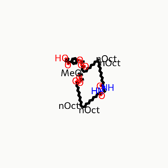 CCCCCCCCC(CCCCCCCCC(=O)NC(C)NC(=O)CCCCCCCCC(CCCCCCCC)C(CCCCCCCC)CCCCCCCCC(=O)OC(C)OC(C)OC)C(CCCCCCCC)CCCCCCCCC(=O)OC(C)Oc1ccc(C(=O)C(C)(C)O)cc1